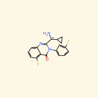 N[C@H](c1nc2cccc(F)c2c(=O)n1-c1cccc(F)c1)C1CC1